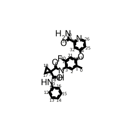 Cc1cc(NC(=O)C2(C(=O)Nc3ccccc3)CC2)c(F)cc1Oc1ccnc(C(N)=O)c1